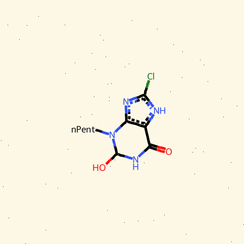 CCCCCN1c2nc(Cl)[nH]c2C(=O)NC1O